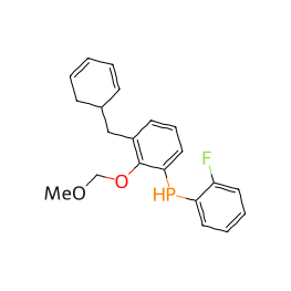 COCOc1c(CC2C=CC=CC2)cccc1Pc1ccccc1F